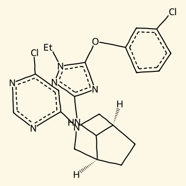 CCn1nc(NC2[C@@H]3CC[C@H]2CN(c2cc(Cl)ncn2)C3)nc1Oc1cccc(Cl)c1